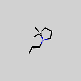 CC=CN1CCC[Si]1(C)C